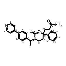 CC(c1ccc(-c2ccncc2)cc1)N1CCC(CCC(N)=O)(c2ccccc2)OC1=O